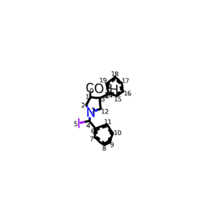 O=C(O)C1CN(C(I)c2ccccc2)CC1c1ccccc1